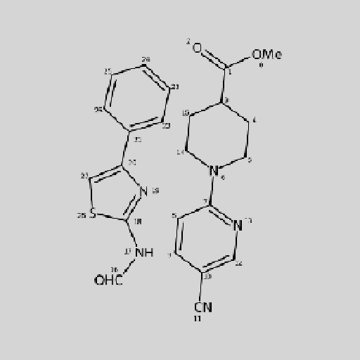 COC(=O)C1CCN(c2ccc(C#N)cn2)CC1.O=CNc1nc(-c2ccccc2)cs1